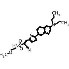 CCCN(CCC)c1ccc2cc(-c3ccc(/C=C(\C#N)S(=O)(=O)NCCOC)s3)ccc2c1